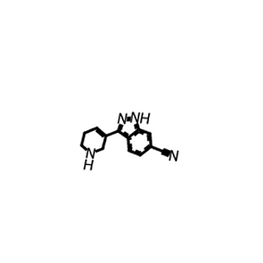 N#Cc1ccc2c(C3=CCCNC3)n[nH]c2c1